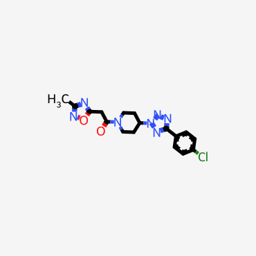 Cc1noc(CC(=O)N2CCC(n3nnc(-c4ccc(Cl)cc4)n3)CC2)n1